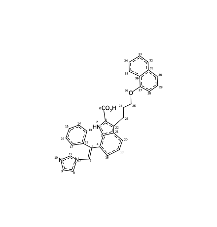 O=C(O)c1[nH]c2c(C(=Cn3ccnc3)c3ccccc3)cccc2c1CCCOc1cccc2ccccc12